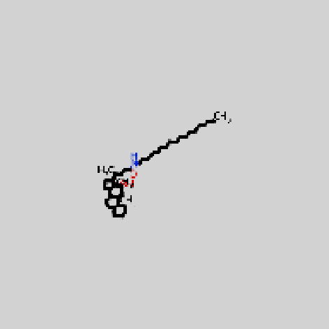 CCCCCCCCCCCCCCCCCCNC(=O)CC[C@@H](C)C1CCC2C3CCC4CCCC[C@]4(C)C3C[C@H](O)[C@@]21C